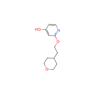 Oc1ccnc(OCCC2CCOCC2)c1